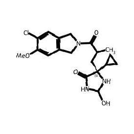 COc1cc2c(cc1Cl)CN(C(=O)C(C)C[C@@]1(C3CC3)NC(O)NC1=O)C2